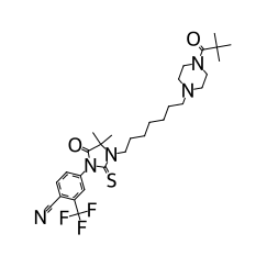 CC(C)(C)C(=O)N1CCN(CCCCCCCN2C(=S)N(c3ccc(C#N)c(C(F)(F)F)c3)C(=O)C2(C)C)CC1